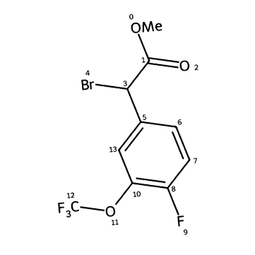 COC(=O)C(Br)c1ccc(F)c(OC(F)(F)F)c1